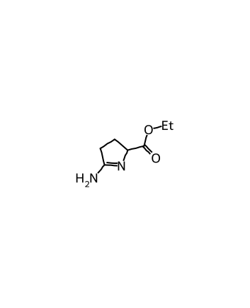 CCOC(=O)C1CCC(N)=N1